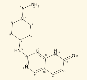 NSN1CCC(Nc2ncc3ccc(=O)[nH]c3n2)CC1